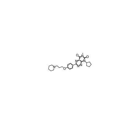 Cn1c(=O)c2nc(-c3ccc(OCCCN4CCCCC4)cc3)nnc2n(C2CCCC2)c1=O